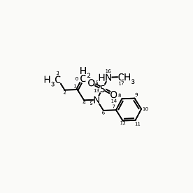 C=C(CC)CN(Cc1ccccc1)S(=O)(=O)NC